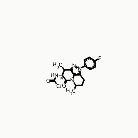 CC1c2nn(-c3ccc(F)cc3)c3c2N(C(=O)[C@@H]1NC(=O)Cl)C(C)CC3